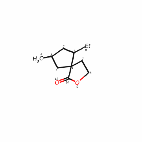 CCC1CC(C)CC12CCOC2=O